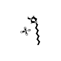 CCCCCCCC[n+]1ccn(C)c1.[Cl][Al-]([Cl])([Cl])[Cl]